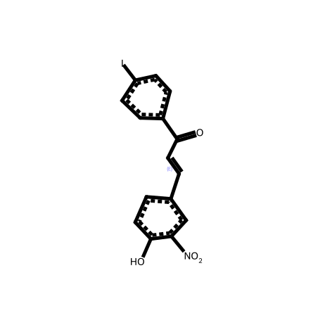 O=C(/C=C/c1ccc(O)c([N+](=O)[O-])c1)c1ccc(I)cc1